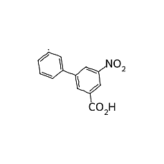 O=C(O)c1cc(-c2c[c]ccc2)cc([N+](=O)[O-])c1